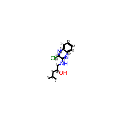 CC(C)C[C@@H](O)CNc1nc2ccccc2nc1Cl